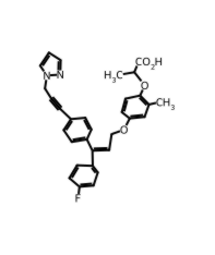 Cc1cc(OC/C=C(/c2ccc(F)cc2)c2ccc(C#CCn3cccn3)cc2)ccc1OC(C)C(=O)O